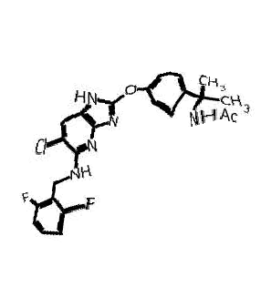 CC(=O)NC(C)(C)c1ccc(Oc2nc3nc(NCc4c(F)cccc4F)c(Cl)cc3[nH]2)cc1